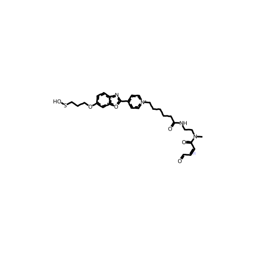 CN(CCNC(=O)CCCCC[n+]1ccc(-c2nc3ccc(OCCCSO)cc3o2)cc1)C(=O)/C=C\C=O